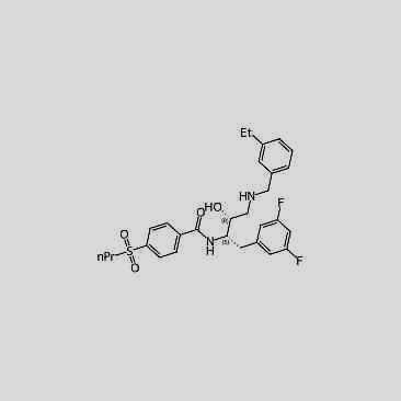 CCCS(=O)(=O)c1ccc(C(=O)N[C@@H](Cc2cc(F)cc(F)c2)[C@H](O)CNCc2cccc(CC)c2)cc1